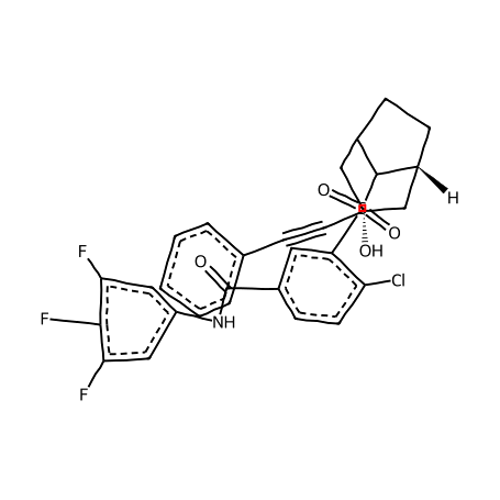 O=C(Nc1cc(F)c(F)c(F)c1)c1ccc(Cl)c(S(=O)(=O)C2C3CC[C@@H]2C[C@@](O)(C#Cc2ccccc2)C3)c1